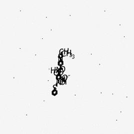 CC1(C)CCN(c2ccc(C(=O)NS(=O)(=O)c3ccc(NCCSc4ccccc4)c([N+](=O)[O-])c3)cc2)C1